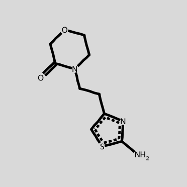 Nc1nc(CCN2CCOCC2=O)cs1